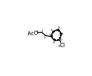 CC(=O)OCCc1c[c]cc(Cl)c1